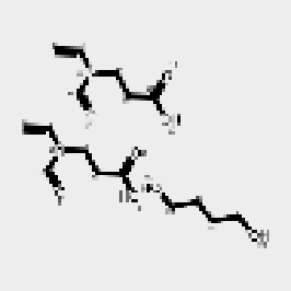 C=CN(C=O)CCC(=O)O.C=CN(C=O)CCC(=O)O.OCCCCO